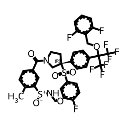 Cc1ccc(C(=O)N2CC[C@](c3ccc(C(OCc4c(F)cccc4F)(C(F)(F)F)C(F)(F)F)cc3)(S(=O)(=O)c3ccc(F)cc3)C2)cc1[S+]([O-])NC=O